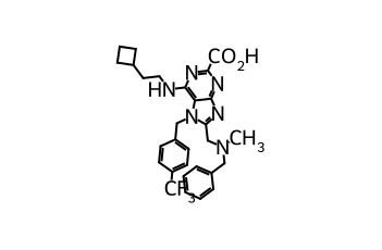 CN(Cc1ccccc1)Cc1nc2nc(C(=O)O)nc(NCCC3CCC3)c2n1Cc1ccc(C(F)(F)F)cc1